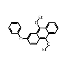 CCOc1c2ccccc2c(OCC)c2cc(Oc3ccccc3)ccc12